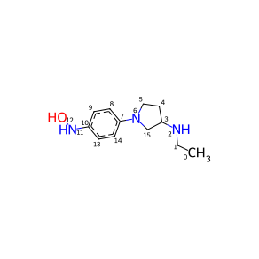 CCNC1CCN(c2ccc(NO)cc2)C1